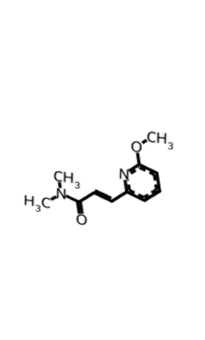 COc1cccc(C=CC(=O)N(C)C)n1